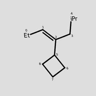 CC/C=C(/CC(C)C)C1CCC1